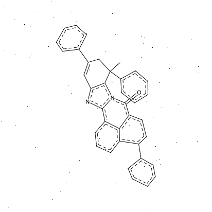 CC1(c2ccccc2)CC(c2ccccc2)=Cc2nc3c4cccc5c(-c6ccccc6)ccc(c(=O)n3c21)c54